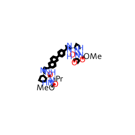 COC(=O)NN(C(=O)[C@@H]1CCCC[C@@H]1c1ncc(-c2ccc3cc(-c4ccc(-c5cnc([C@@H]6CCCN6C(=O)N(NC(=O)OC)C6CCOC6)[nH]5)cc4)ccc3c2)[nH]1)C(C)C